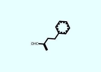 C=C(C=O)CCc1ccccc1